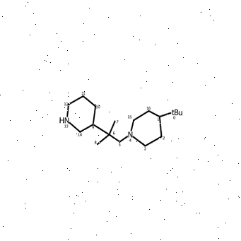 CC(C)(C)C1CCN(CC(C)(C)C2CCCNC2)CC1